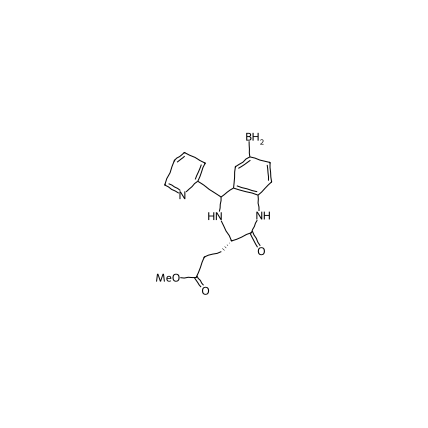 Bc1ccc2c(c1)C(c1ccccn1)N[C@@H](CCC(=O)OC)C(=O)N2